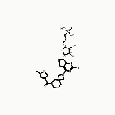 Cn1cc(C(=O)N2CCCC3(C2)CN(c2nc(Cl)nc4c2cnn4[C@@H]2O[C@H](COCP(=O)(O)O)[C@@H](O)[C@H]2O)C3)cn1